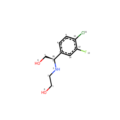 OCCN[C@@H](CO)c1ccc(Cl)c(F)c1